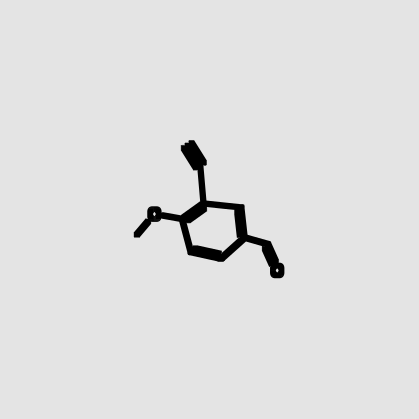 C#Cc1cc(C=O)ccc1OC